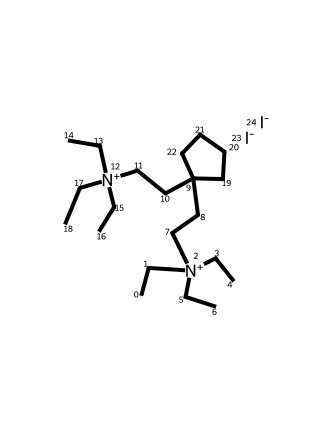 CC[N+](CC)(CC)CCC1(CC[N+](CC)(CC)CC)CCCC1.[I-].[I-]